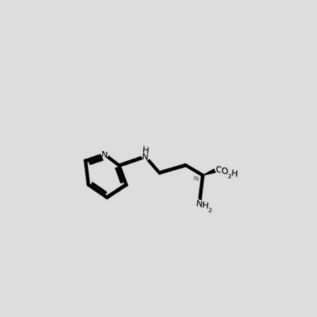 N[C@@H](CCNc1ccccn1)C(=O)O